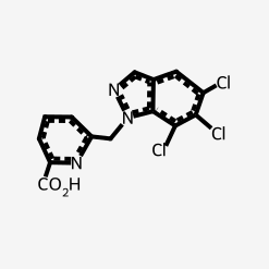 O=C(O)c1cccc(Cn2ncc3cc(Cl)c(Cl)c(Cl)c32)n1